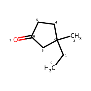 CCC1(C)CCC(=O)C1